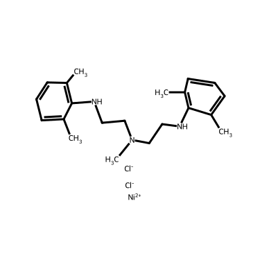 Cc1cccc(C)c1NCCN(C)CCNc1c(C)cccc1C.[Cl-].[Cl-].[Ni+2]